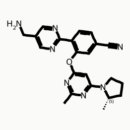 Cc1nc(Oc2cc(C#N)ccc2-c2ncc(CN)cn2)cc(N2CCC[C@@H]2C)n1